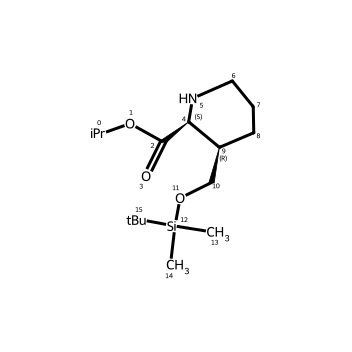 CC(C)OC(=O)[C@H]1NCCC[C@H]1CO[Si](C)(C)C(C)(C)C